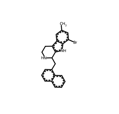 Cc1cc(Br)c2[nH]c3c(c2c1)CCNC3Cc1cccc2ccccc12